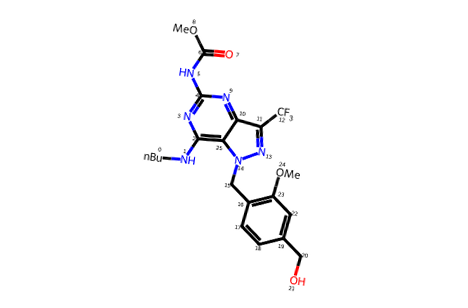 CCCCNc1nc(NC(=O)OC)nc2c(C(F)(F)F)nn(Cc3ccc(CO)cc3OC)c12